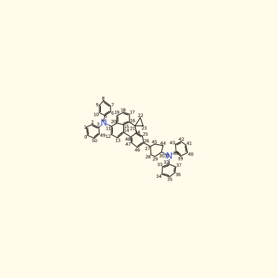 c1ccc(N(c2ccccc2)c2ccc3c4c(cccc24)C2(CC2)c2cc(C4CCC(N(c5ccccc5)c5ccccc5)CC4)ccc2-3)cc1